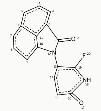 O=C1c2cccc3cccc(c23)N1c1ccc(=O)[nH]c1F